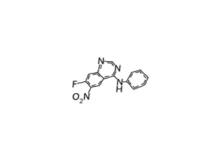 O=[N+]([O-])c1cc2c(Nc3ccccc3)ncnc2cc1F